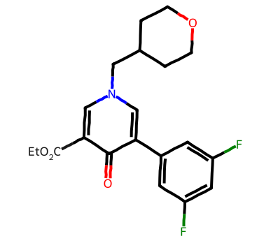 CCOC(=O)c1cn(CC2CCOCC2)cc(-c2cc(F)cc(F)c2)c1=O